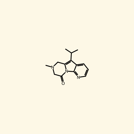 CC(C)c1c2n(c3ncccc13)C(=O)CN(C)C2